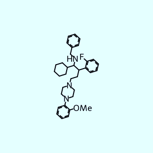 COc1ccccc1N1CCN(CCC(c2ccccc2F)C(NCc2ccccc2)C2CCCCC2)CC1